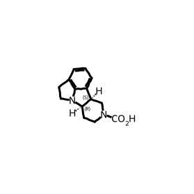 O=C(O)N1CC[C@@H]2[C@H](C1)c1cccc3c1N2CC3